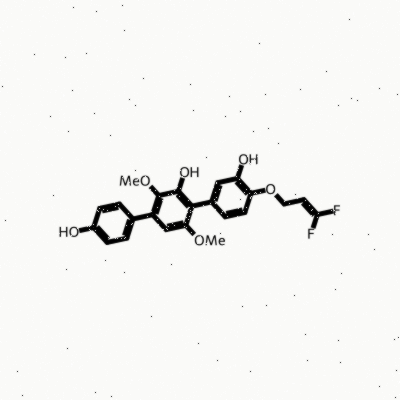 COc1cc(-c2ccc(O)cc2)c(OC)c(O)c1-c1ccc(OCC=C(F)F)c(O)c1